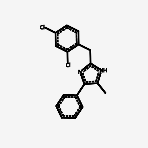 Cc1[nH]c(Cc2ccc(Cl)cc2Cl)nc1-c1ccccc1